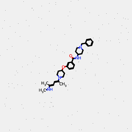 CN/C(C)=C/C=C(\C)N1CCC(Oc2cccc(C(=O)NC3CCN(Cc4ccccc4)CC3)c2)CC1